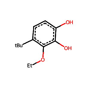 CCOc1c(C(C)(C)C)ccc(O)c1O